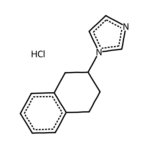 Cl.c1ccc2c(c1)CCC(n1ccnc1)C2